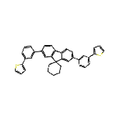 c1cc(-c2ccc3c(c2)C2(CCCCC2)c2cc(-c4cccc(-c5cccs5)c4)ccc2-3)cc(-c2cccs2)c1